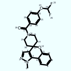 Cn1ncc2c1-c1ccccc1OC21CCN(C(=O)c2ccc(OC(F)F)cc2)CC1